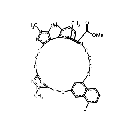 COC(=O)c1c(C)c2c3c(Cl)ccc2n1CCCOc1cc(cc2c(F)cccc12)CCc1cc(nn1C)CSCc1nn(C)c(C)c1-3